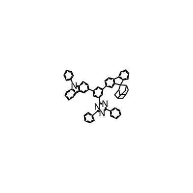 c1ccc(-c2nc(-c3ccccc3)nc(-c3cc(-c4ccc5c(c4)C4(c6ccccc6-5)C5CC6CC(C5)CC4C6)cc(-c4ccc5c(c4)c4ccccc4n5-c4ccccc4)c3)n2)cc1